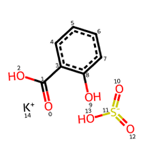 O=C(O)c1ccccc1O.O=[S-](=O)O.[K+]